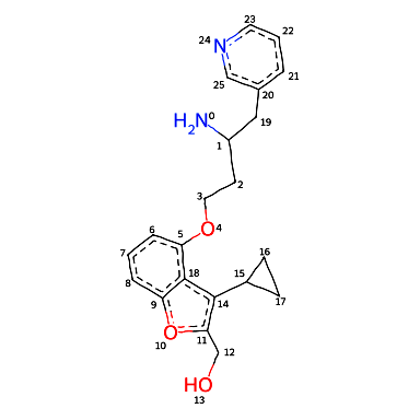 NC(CCOc1cccc2oc(CO)c(C3CC3)c12)Cc1cccnc1